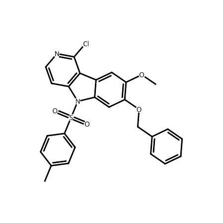 COc1cc2c3c(Cl)nccc3n(S(=O)(=O)c3ccc(C)cc3)c2cc1OCc1ccccc1